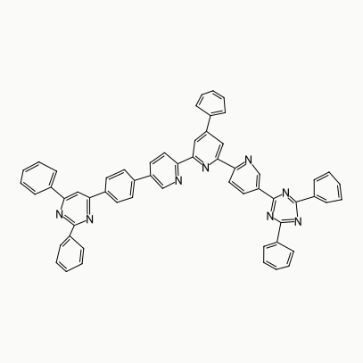 c1ccc(-c2cc(-c3ccc(-c4ccc(-c5cc(-c6ccccc6)nc(-c6ccccc6)n5)cc4)cn3)nc(-c3ccc(-c4nc(-c5ccccc5)nc(-c5ccccc5)n4)cn3)c2)cc1